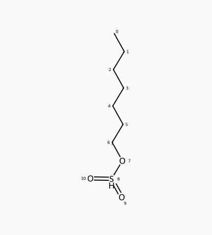 CCCCCC[CH]O[SH](=O)=O